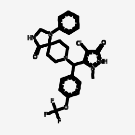 Cn1[nH]c(=O)c(Cl)c1C(c1ccc(OC(F)(F)F)cc1)N1CCC2(CC1)C(=O)NCN2c1ccccc1